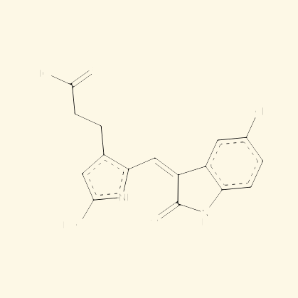 Cc1cc(CCC(=O)O)c(C=C2C(=O)Nc3ccc(Cl)cc32)[nH]1